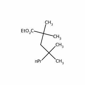 CCCC(C)(C)CC(C)(C)C(=O)OCC